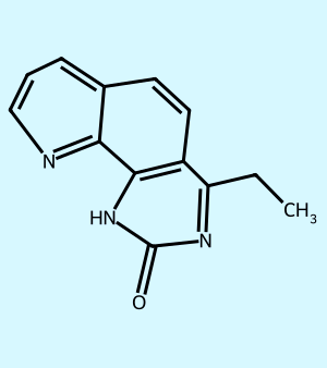 CCc1nc(=O)[nH]c2c1ccc1cccnc12